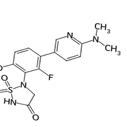 CN(C)c1ccc(-c2ccc(O)c(N3CC(=O)NS3(=O)=O)c2F)cn1